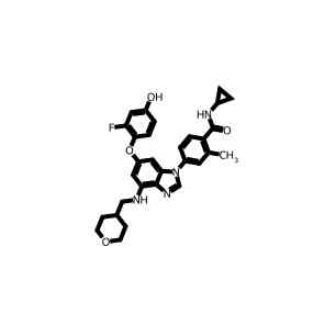 Cc1cc(-n2cnc3c(NCC4CCOCC4)cc(Oc4ccc(O)cc4F)cc32)ccc1C(=O)NC1CC1